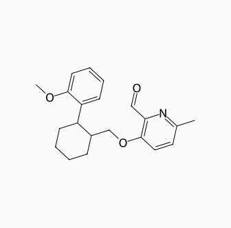 COc1ccccc1C1CCCCC1COc1ccc(C)nc1C=O